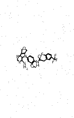 COc1cc(-n2c3c(c4ncnc(N)c42)COC3)ccc1NC(=O)Cc1cc(C(F)(F)F)ccc1F